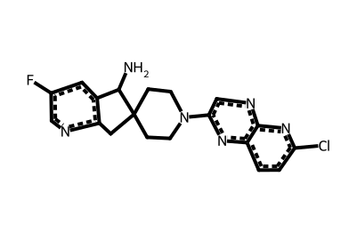 NC1c2cc(F)cnc2CC12CCN(c1cnc3nc(Cl)ccc3n1)CC2